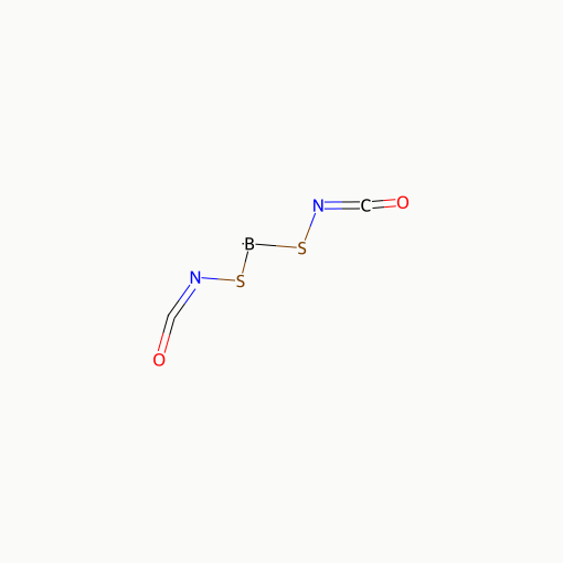 O=C=NS[B]SN=C=O